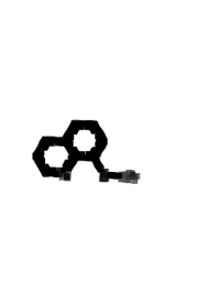 CCCSc1cccc2cccnc12